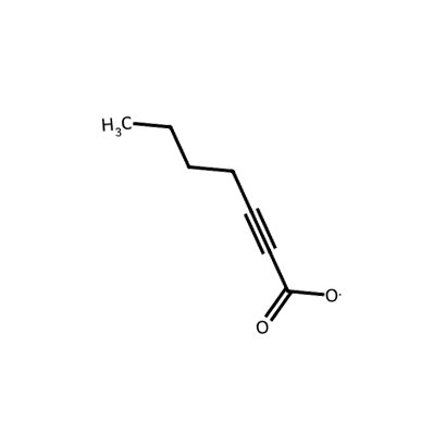 CCCCC#CC([O])=O